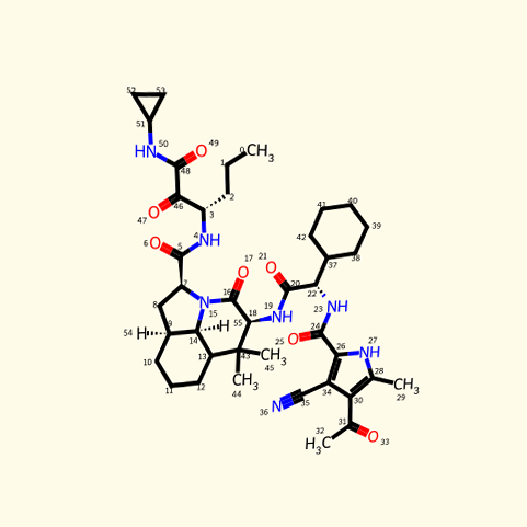 CCC[C@H](NC(=O)[C@@H]1C[C@@H]2CCCC3[C@@H]2N1C(=O)[C@@H](NC(=O)[C@@H](NC(=O)c1[nH]c(C)c(C(C)=O)c1C#N)C1CCCCC1)C3(C)C)C(=O)C(=O)NC1CC1